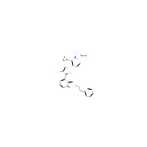 Cc1c(C(C)C)c(-c2cccc3nn(C[C@H](O)c4ccccc4)cc23)nn1-c1ccn2c(C(F)F)nnc2c1C1CC1